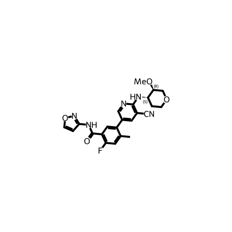 CO[C@H]1COCC[C@@H]1Nc1ncc(-c2cc(C(=O)Nc3ccon3)c(F)cc2C)cc1C#N